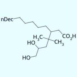 CCCCCCCCCCCCCCCC(CC(=O)O)C(C)(C)CC(O)CO